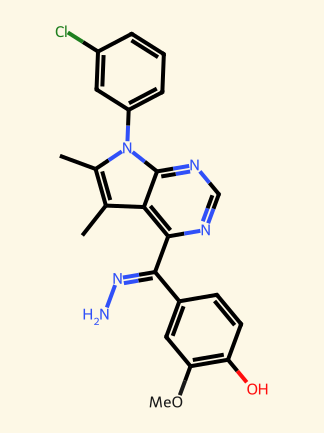 COc1cc(C(=NN)c2ncnc3c2c(C)c(C)n3-c2cccc(Cl)c2)ccc1O